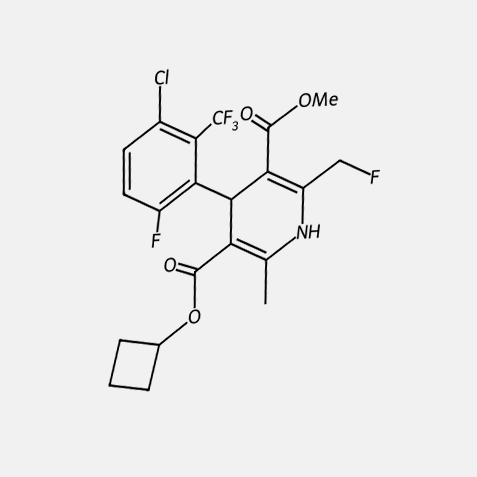 COC(=O)C1=C(CF)NC(C)=C(C(=O)OC2CCC2)C1c1c(F)ccc(Cl)c1C(F)(F)F